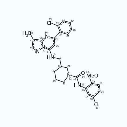 Bc1cnn2c(NCC3CCCN(C(=O)Nc4cc(Cl)ccc4OC)C3)cc(-c3ccccc3Cl)nc12